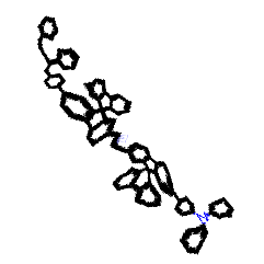 C1=CCC2C(=C1)c1ccccc1C21c2cc(/C=C/c3ccc4c(c3)C3(c5ccccc5-c5ccccc53)c3cc(-c5ccc(N(c6ccccc6)c6ccccc6)cc5)ccc3-4)ccc2-c2ccc(C3=CC=C(CC(Cc4ccccc4)c4ccccc4)CC3)cc21